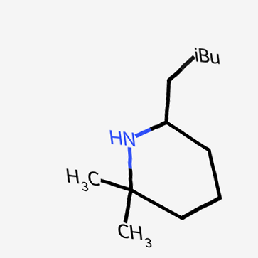 CCC(C)CC1CCCC(C)(C)N1